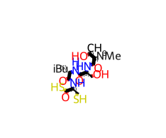 CC[C@H](C)C(NC(=O)[C@H](CO)NC(=O)[C@@H](NC)[C@@H](C)O)C(=O)N[C@@H](CS)C(=O)S